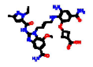 CCn1nc(C)cc1C(=O)Nc1nc2cc(C(N)=O)cc(OC)c2n1CC=CCNc1c(N)cc(C(N)=O)cc1OC1CC(C(=O)O)C1